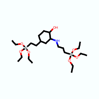 CCO[Si](CCCNC1CC(CC[Si](OCC)(OCC)OCC)CCC1O)(OCC)OCC